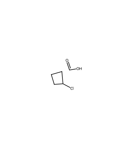 ClC1CCC1.O=CO